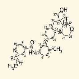 Cc1ccc(NC(=O)c2ccnc(C(C)(F)F)c2)cc1-c1ccc2c(c1)N1CCOC[C@@H]1[C@@](CO)(CF)C2